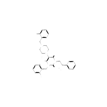 Cc1c(N2CCN(Cc3ccccc3F)CC2)c(=O)n(C[C@@H](N)c2ccccc2)c(=O)n1Cc1c(F)cccc1F